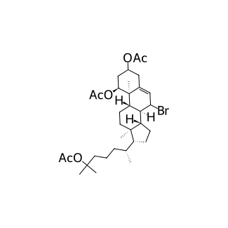 CC(=O)OC1CC2=CC(Br)[C@H]3[C@@H]4CC[C@H]([C@H](C)CCCC(C)(C)OC(C)=O)[C@@]4(C)CC[C@@H]3[C@@]2(C)[C@@H](OC(C)=O)C1